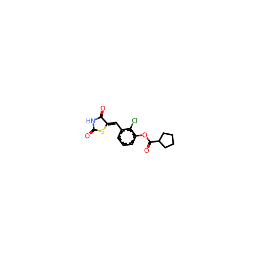 O=C1NC(=O)/C(=C/c2cccc(OC(=O)C3CCCC3)c2Cl)S1